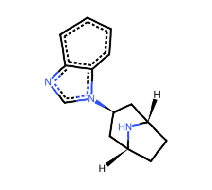 c1ccc2c(c1)ncn2[C@@H]1C[C@H]2CC[C@@H](C1)N2